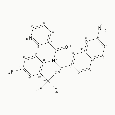 Nc1ccc2ccc(CN(C(=O)c3cccnc3)c3ccc(F)cc3C(F)(F)F)cc2n1